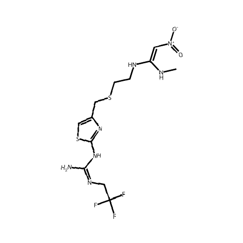 CN/C(=C\[N+](=O)[O-])NCCSCc1csc(N/C(N)=N\CC(F)(F)F)n1